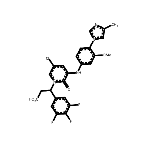 COc1cc(Nc2cc(Cl)cn(C(CC(=O)O)c3cc(F)c(F)c(F)c3)c2=O)ccc1-n1cnc(C)c1